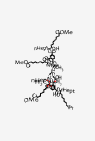 CCCCCCCC(OC(=O)c1ccc(C(=O)OC(C)COCC(COCC(C)OC(=O)c2ccc(C(=O)OC(CCCCCCC)C(O)CCCCCCC(C)C)cc2C(=O)OC(CCCCCCC)C(O)CCCCCCC(=O)OC)OCC(C)O)c(C(=O)OC(CCCCCCC)C(O)CCCCCCC(=O)OC)c1)C(O)CCCCCCC(=O)OC